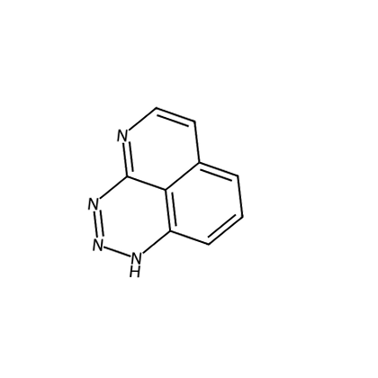 c1cc2c3c(nccc3c1)N=NN2